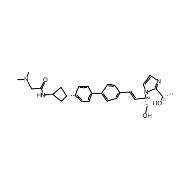 C[C@H](O)c1nccn1[C@@H](/C=C/c1ccc(-c2ccc([C@H]3C[C@H](NC(=O)CN(C)C)C3)cc2)cc1)CO